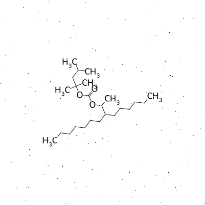 CCCCCCCC(CCCCCC)C(C)OC(=O)OC(C)(C)CC(C)C